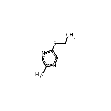 CCSc1cnc(C)cn1